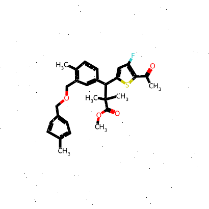 COC(=O)C(C)(C)C(c1ccc(C)c(COCc2ccc(C)cc2)c1)c1cc(F)c(C(C)=O)s1